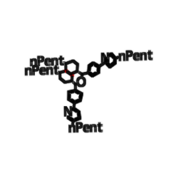 CCCCCc1ccc(-c2ccc(C(OC(c3ccc(-c4ccc(CCCCC)cn4)cc3)[C@H]3CC[C@H](CCCCC)CC3)[C@H]3CC[C@H](CCCCC)CC3)cc2)nc1